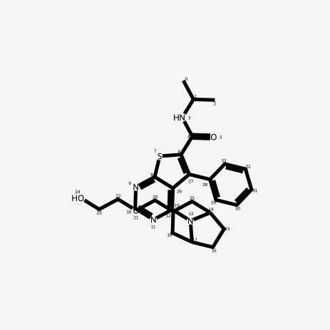 CC(C)NC(=O)c1sc2ncnc(N3C4CCC3CC(COCCO)C4)c2c1-c1ccccc1